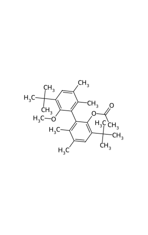 COc1c(C(C)(C)C)cc(C)c(C)c1-c1c(C)c(C)cc(C(C)(C)C)c1OC(C)=O